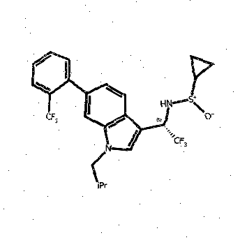 CC(C)Cn1cc([C@H](N[S+]([O-])C2CC2)C(F)(F)F)c2ccc(-c3ccccc3C(F)(F)F)cc21